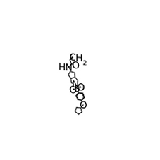 C=CC(=O)NC1CC2CN(S(=O)(=O)c3ccc(OC4CCCC4)cc3)CC2C1